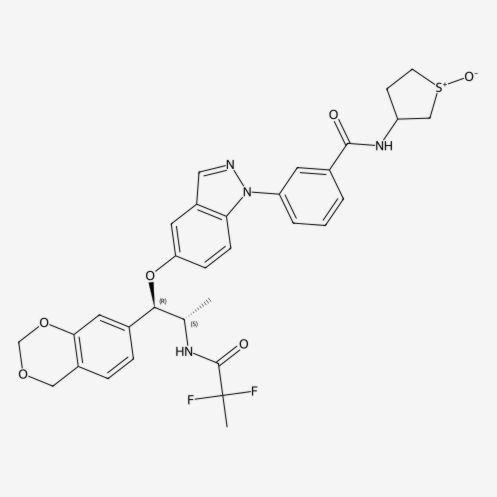 C[C@H](NC(=O)C(C)(F)F)[C@H](Oc1ccc2c(cnn2-c2cccc(C(=O)NC3CC[S+]([O-])C3)c2)c1)c1ccc2c(c1)OCOC2